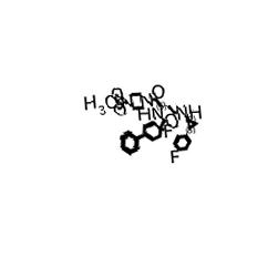 CS(=O)(=O)N1CCN(C(=O)[C@H](CCN[C@@H]2C[C@H]2c2ccc(F)cc2)NC(=O)C2(F)C=CC(c3ccccc3)=CC2)CC1